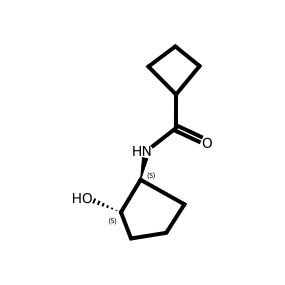 O=C(N[C@H]1CCC[C@@H]1O)C1CCC1